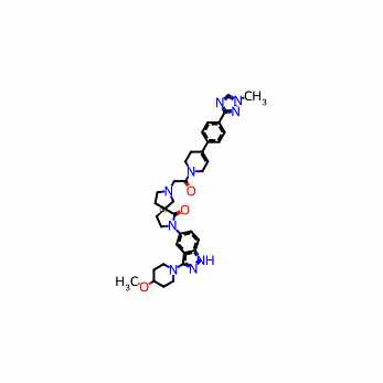 COC1CCN(c2n[nH]c3ccc(N4CC[C@]5(CCN(CC(=O)N6CC=C(c7ccc(-c8ncn(C)n8)cc7)CC6)C5)C4=O)cc23)CC1